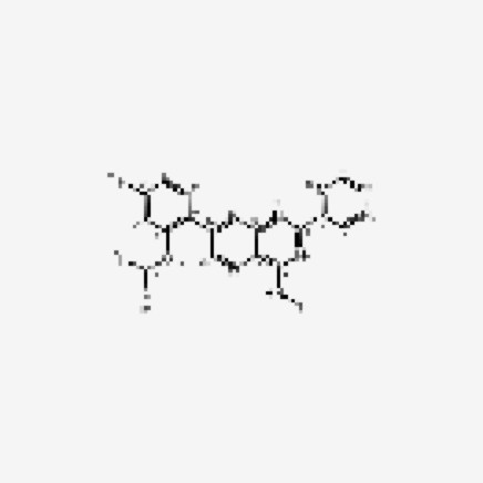 CNc1nc(-c2cnccn2)nc2cc(-c3ccc(F)cc3OC(F)F)ccc12